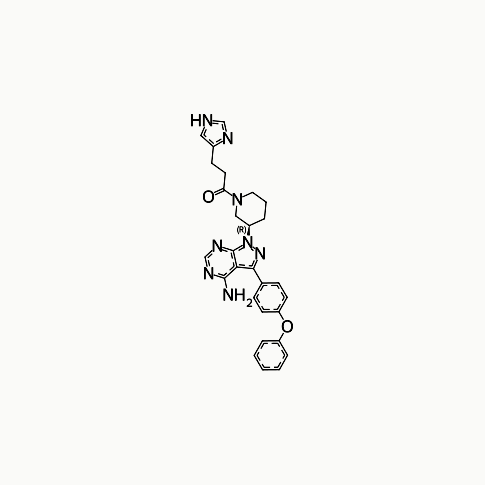 Nc1ncnc2c1c(-c1ccc(Oc3ccccc3)cc1)nn2[C@@H]1CCCN(C(=O)CCc2c[nH]cn2)C1